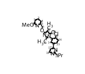 COc1cccc(COc2nc(C)n(-c3cc(-c4ccnc(C(C)C)n4)ccc3Cl)c(=O)c2C)n1